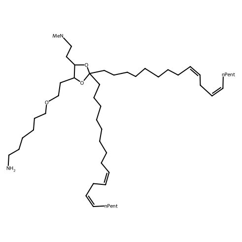 CCCCC/C=C\C/C=C\CCCCCCCCC1(CCCCCCCC/C=C\C/C=C\CCCCC)OC(CCNC)C(CCOCCCCCCN)O1